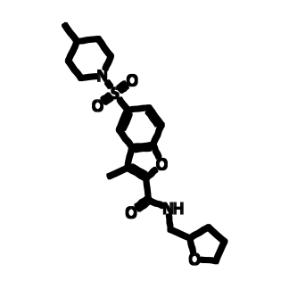 Cc1c(C(=O)NCC2CCCO2)oc2ccc(S(=O)(=O)N3CCC(C)CC3)cc12